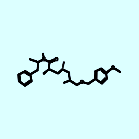 COc1ccc(COCC(C)C[C@@H](C)C[C@@H](C)C(=O)N(C)C(C)Cc2ccccc2)cc1